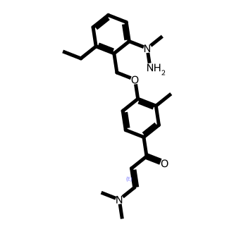 CCc1cccc(N(C)N)c1COc1ccc(C(=O)/C=C/N(C)C)cc1C